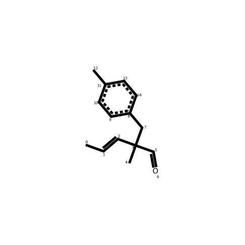 CC=CC(C)(C=O)Cc1ccc(C)cc1